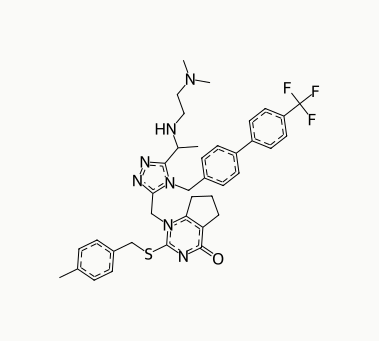 Cc1ccc(CSc2nc(=O)c3c(n2Cc2nnc(C(C)NCCN(C)C)n2Cc2ccc(-c4ccc(C(F)(F)F)cc4)cc2)CCC3)cc1